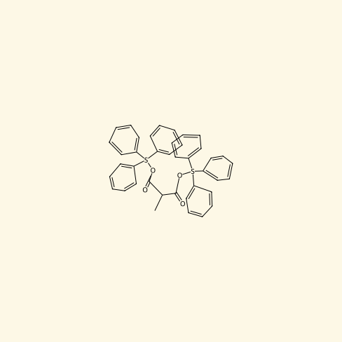 CC(C(=O)OS(c1ccccc1)(c1ccccc1)c1ccccc1)C(=O)OS(c1ccccc1)(c1ccccc1)c1ccccc1